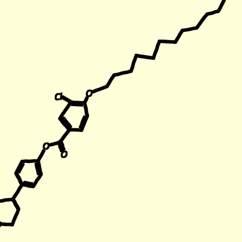 CCCCCCCCCCCCOc1ccc(C(=O)Oc2ccc(C3CC[CH]CC3)cc2)cc1Cl